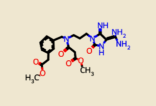 COC(=O)CC(=O)N(CCCN1C(=N)C(=C(N)N)NC1=O)Cc1cccc(CC(=O)OC)c1